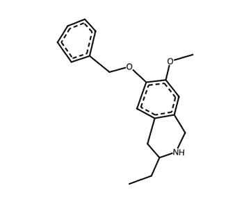 CCC1Cc2cc(OCc3ccccc3)c(OC)cc2CN1